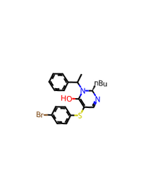 CCCC[C@H]1N=CC(Sc2ccc(Br)cc2)=C(O)N1C(C)c1ccccc1